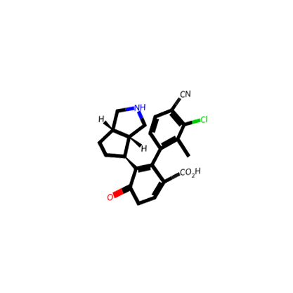 Cc1c(C2=C([C@H]3CC[C@@H]4CNC[C@@H]43)C(=O)CC=C2C(=O)O)ccc(C#N)c1Cl